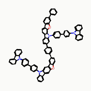 c1ccc(-c2ccc3c(c2)oc2c3ccc3c4ccc(-c5ccc(-c6ccc7oc8cc9c%10ccccc%10n(-c%10ccc(-c%11ccc(-n%12c%13ccccc%13c%13ccccc%13%12)cc%11)cc%10)c9cc8c7c6)cc5)cc4n(-c4ccc(-c5ccc(-n6c7ccccc7c7ccccc76)cc5)cc4)c32)cc1